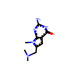 CN(C)Cc1cc2c(=O)[nH]c(N)nc2n1C